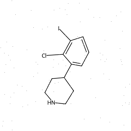 Clc1c(I)cccc1C1CCNCC1